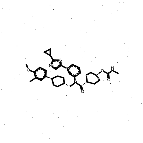 CNC(=O)O[C@H]1CC[C@H](C(=O)N(C[C@H]2CC[C@H](c3ccc(OC)c(C)c3)CC2)c2cccc(-c3cnc(C4CC4)s3)c2)CC1